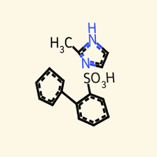 Cc1ncc[nH]1.O=S(=O)(O)c1ccccc1-c1ccccc1